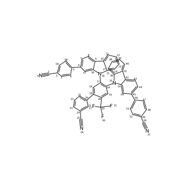 N#Cc1ccc(-c2ccc3c4ccccc4n(-c4cc(-c5cccc(C#N)c5)c(C(F)(F)F)cc4-n4c5ccccc5c5ccc(-c6ccc(C#N)cc6)cc54)c3c2)cc1